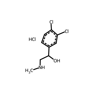 CNCC(O)c1ccc(Cl)c(Cl)c1.Cl